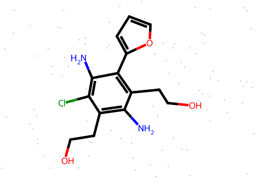 Nc1c(CCO)c(Cl)c(N)c(-c2ccco2)c1CCO